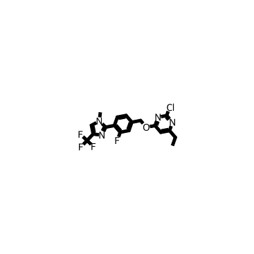 CCc1cc(OCc2ccc(-c3nc(C(F)(F)F)cn3C)c(F)c2)nc(Cl)n1